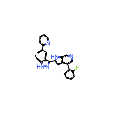 C=C(/C=c1/c(-c2cc3c(-c4ccccc4F)cncc3[nH]2)n[nH]/c1=C/C)c1ccccn1